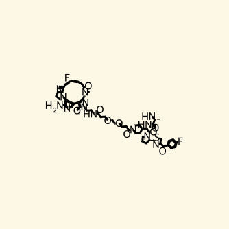 C=C1/C=C(F)\C=C/CC(=O)N(C)Cc2nn(CCNC(=O)CCOCCOCCC(=O)N3CCC([C@@H](NC(=O)[C@@H](C)NC)C(=O)N4CCC[C@@H]4C4=NC(C(=O)c5ccc(F)cc5)CS4)CC3)c(OC)c2-c2cnc(N)c(c2)N2CCC[C@H]12